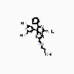 Cc1cc(-c2c(-c3ccccc3)nc(N)n3nc(/C=N/CCCO)nc23)cc(C)n1